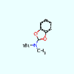 CCCCN(C)C1Oc2ccccc2O1